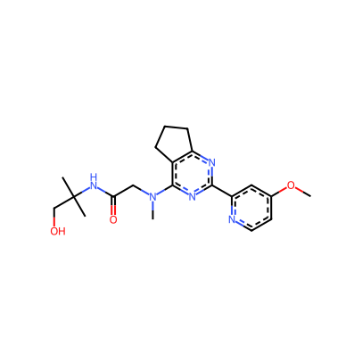 COc1ccnc(-c2nc3c(c(N(C)CC(=O)NC(C)(C)CO)n2)CCC3)c1